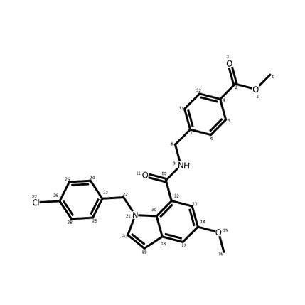 COC(=O)c1ccc(CNC(=O)c2cc(OC)cc3ccn(Cc4ccc(Cl)cc4)c23)cc1